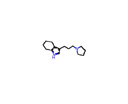 c1[nH]c2c(c1CCCN1CCCC1)CCCC2